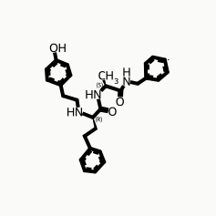 C[C@H](NC(=O)[C@@H](CCc1ccccc1)NCCc1ccc(O)cc1)C(=O)NCc1cc[c]cc1